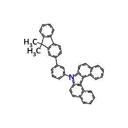 CC1(C)c2ccccc2-c2ccc(-c3cccc(-n4c5ccc6ccccc6c5c5c6ccccc6ccc54)c3)cc21